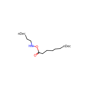 CCCCCCCCCCCCCCCC(=O)ONCCCCCCCCCCCC